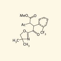 COC(=O)C(C(C)=O)C(C(=O)C1=NC(C)(C)CO1)c1ccccc1C(F)(F)F